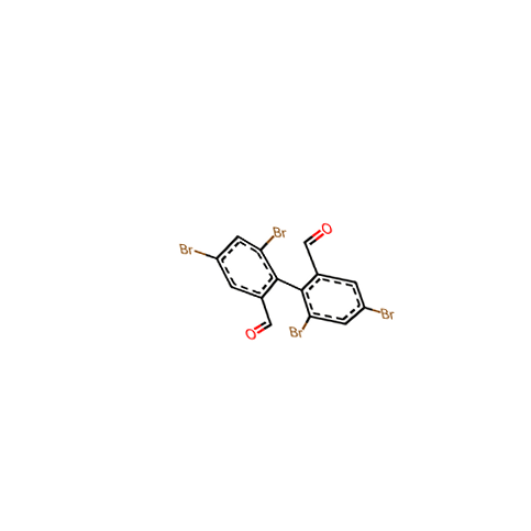 O=Cc1cc(Br)cc(Br)c1-c1c(Br)cc(Br)cc1C=O